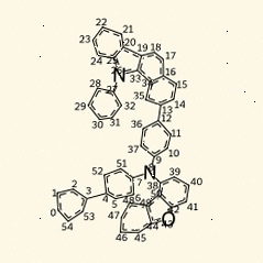 c1ccc(-c2ccc(N(c3ccc(-c4ccc5ccc6c7ccccc7n(-c7ccccc7)c6c5c4)cc3)c3cccc4oc5ccccc5c34)cc2)cc1